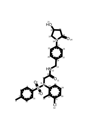 Cc1ccc(S(=O)(=O)N(CC(=O)NCc2ccc(N3CC(O)CC3=O)cc2)c2cccc(Cl)c2C)cc1